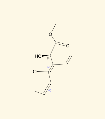 C=C/C(=C(Cl)\C=C/C)[C@@H](O)C(=O)OC